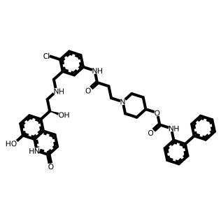 O=C(CCN1CCC(OC(=O)Nc2ccccc2-c2ccccc2)CC1)Nc1ccc(Cl)c(CNC[C@@H](O)c2ccc(O)c3[nH]c(=O)ccc23)c1